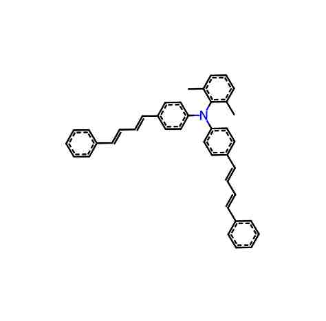 Cc1cccc(C)c1N(c1ccc(/C=C/C=C/c2ccccc2)cc1)c1ccc(/C=C/C=C/c2ccccc2)cc1